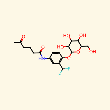 CC(=O)CCCC(=O)Nc1ccc(OC2OC(CO)C(O)C(O)C2O)c(C(F)F)c1